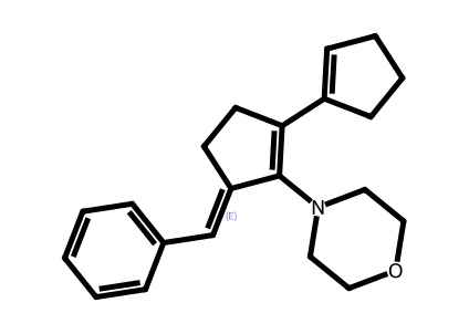 C1=C(C2=C(N3CCOCC3)/C(=C/c3ccccc3)CC2)CCC1